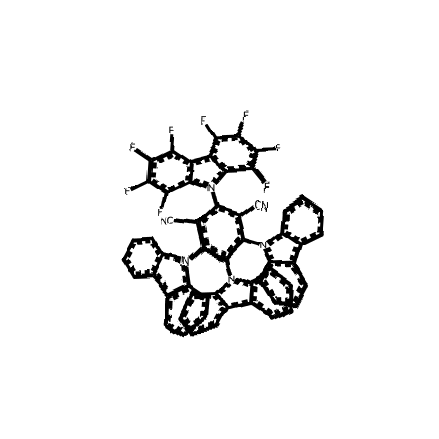 N#Cc1c(-n2c3ccccc3c3ccccc32)c(-n2c3ccccc3c3ccccc32)c(-n2c3ccccc3c3ccccc32)c(C#N)c1-n1c2c(F)c(F)c(F)c(F)c2c2c(F)c(F)c(F)c(F)c21